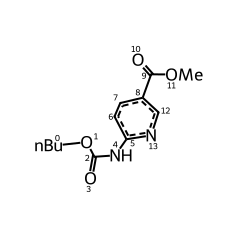 CCCCOC(=O)Nc1ccc(C(=O)OC)cn1